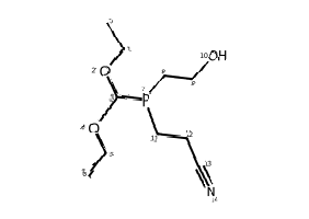 CCOC(OCC)P(CCO)CCC#N